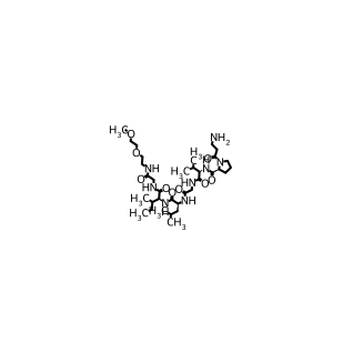 CCC(C)[C@H](NC(=O)[C@H](CC(C)C)NC(=O)CNC(=O)[C@@H](NC(=O)[C@@H]1CCCN1C(=O)CCN)C(C)C)C(=O)NCC(=O)NCCOCCOC